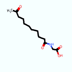 CC(=O)CCCCCCCCC(=O)NCC(=O)O